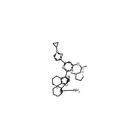 C[C@H](Oc1cc(-c2ccn(C3CC3)n2)nc(-c2noc3c2CCC[C@@]32CCCc3sc(N)c(C#N)c32)n1)[C@@H]1CCCN1C